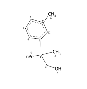 CCCC(C)(CO)c1cccc(C)c1